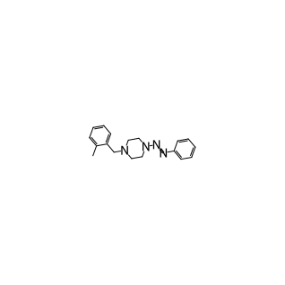 Cc1ccccc1CN1CCN(/N=N/c2ccccc2)CC1